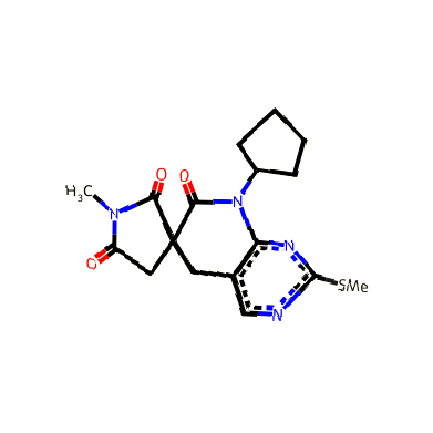 CSc1ncc2c(n1)N(C1CCCC1)C(=O)C1(CC(=O)N(C)C1=O)C2